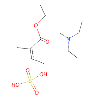 CC=C(C)C(=O)OCC.CCN(C)CC.O=S(=O)(O)O